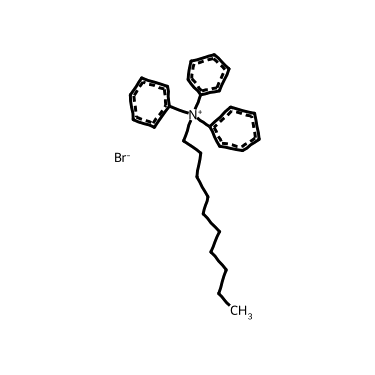 CCCCCCCCCC[N+](c1ccccc1)(c1ccccc1)c1ccccc1.[Br-]